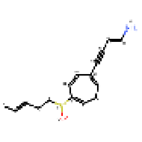 C/C=C/CC[S+]([O-])C1=CCC=C(C#C/C=C/N)C=C1